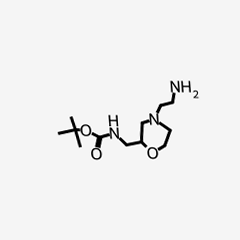 CC(C)(C)OC(=O)NCC1CN(CCN)CCO1